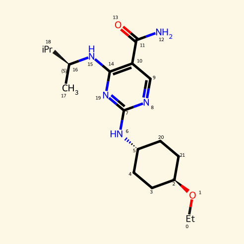 CCO[C@H]1CC[C@H](Nc2ncc(C(N)=O)c(N[C@@H](C)C(C)C)n2)CC1